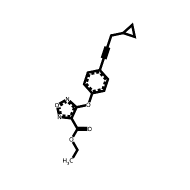 CCOC(=O)c1nonc1Oc1ccc(C#CCC2CC2)cc1